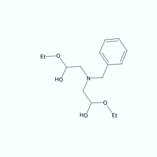 CCOC(O)CN(Cc1ccccc1)CC(O)OCC